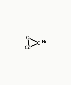 [Ni].[O]1[O][Co]1